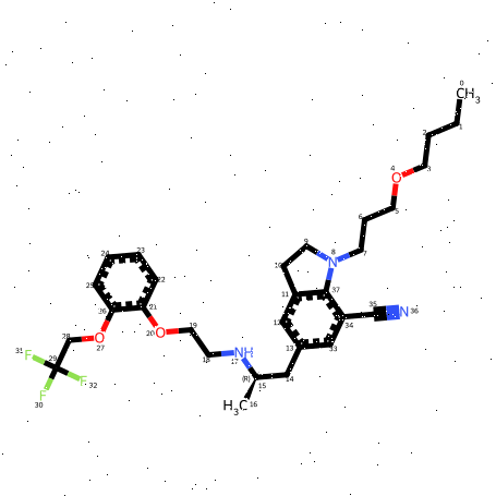 CCCCOCCCN1CCc2cc(C[C@@H](C)NCCOc3ccccc3OCC(F)(F)F)cc(C#N)c21